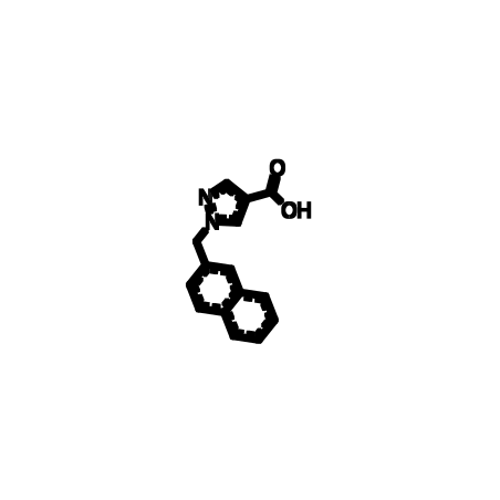 O=C(O)c1cnn(Cc2ccc3ccccc3c2)c1